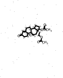 CC(=O)OCC[C@]12CCC3C(CCC4=CC(=O)CC[C@@]43C)C1CC[C@@H]2OC(C)=O